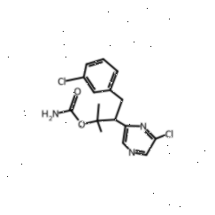 CC(C)(OC(N)=O)C(Cc1cccc(Cl)c1)c1cncc(Cl)n1